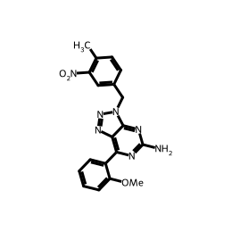 COc1ccccc1-c1nc(N)nc2c1nnn2Cc1ccc(C)c([N+](=O)[O-])c1